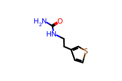 NC(=O)NCCc1ccsc1